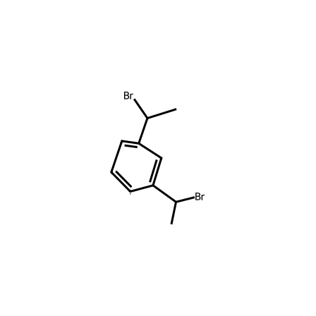 CC(Br)c1[c]ccc(C(C)Br)c1